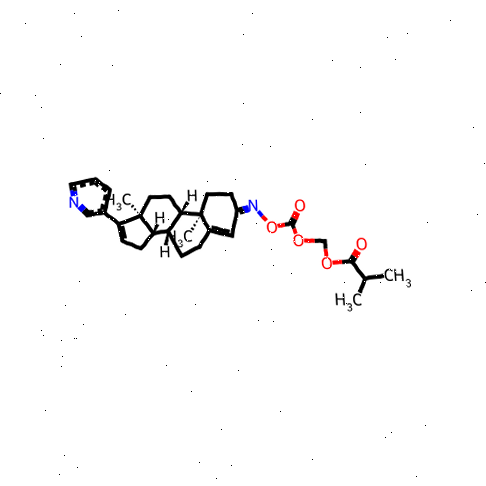 CC(C)C(=O)OCOC(=O)ON=C1C=C2CC[C@H]3[C@H](CC[C@]4(C)C(c5cccnc5)=CC[C@@H]34)[C@@]2(C)CC1